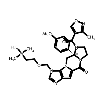 COc1ccc([C@@]23Cn4c(cc5ncn(COCC[Si](C)(C)C)c54)C(=O)N2CCN3C(=O)c2conc2C)cc1